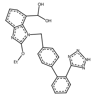 CCOc1nc2cccc(C(O)O)c2n1Cc1ccc(-c2ccccc2-c2nn[nH]n2)cc1